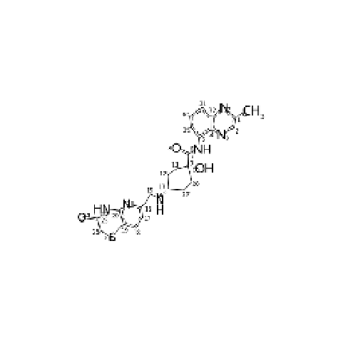 Cc1cnc2c(NC(=O)[C@]3(O)CC[C@@H](NCc4ccc5c(n4)NC(=O)CS5)CC3)cccc2n1